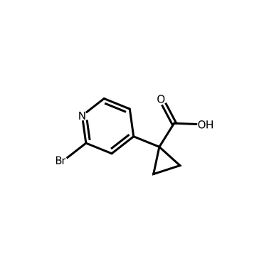 O=C(O)C1(c2ccnc(Br)c2)CC1